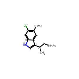 COc1cc2c([C@H](C)CNC(C)=O)c[nH]c2cc1Cl